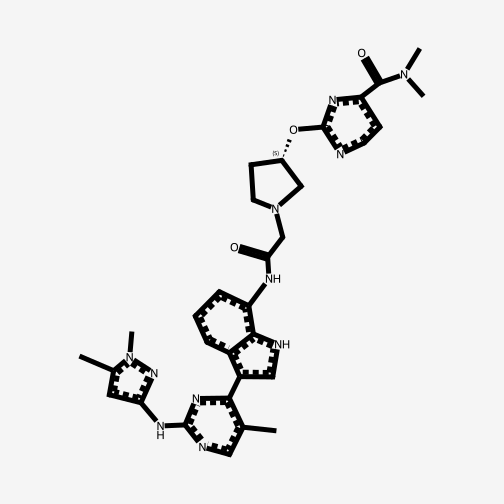 Cc1cnc(Nc2cc(C)n(C)n2)nc1-c1c[nH]c2c(NC(=O)CN3CC[C@H](Oc4nccc(C(=O)N(C)C)n4)C3)cccc12